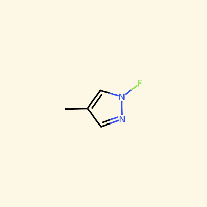 Cc1cnn(F)c1